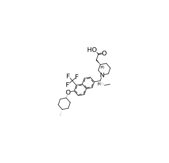 CC[C@H](c1ccc2c(C(F)(F)F)c(O[C@H]3CC[C@@H](C)CC3)ccc2c1)N1CCC[C@H](CC(=O)O)C1